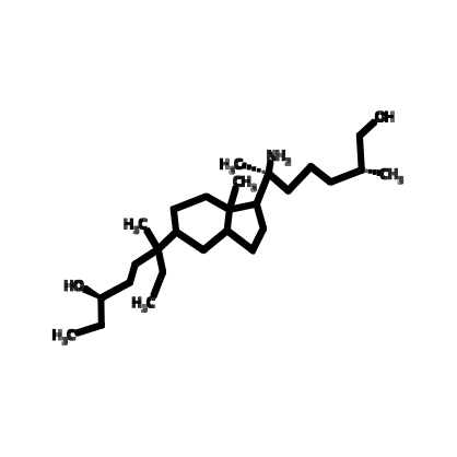 CC[C@@H](O)CCC(C)(CC)C1CCC2(C)C(CCC2[C@@](C)(N)CCC[C@@H](C)CO)C1